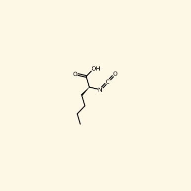 CCCC[C@H](N=C=O)C(=O)O